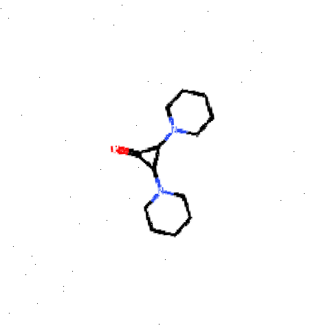 O=C1C(N2CCCCC2)C1N1CCCCC1